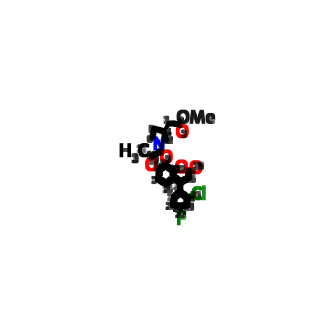 COC(=O)C[C@@H]1CCN(C(=O)[C@@H](C)Oc2ccc3c(-c4ccc(F)cc4Cl)cc(=O)oc3c2)C1